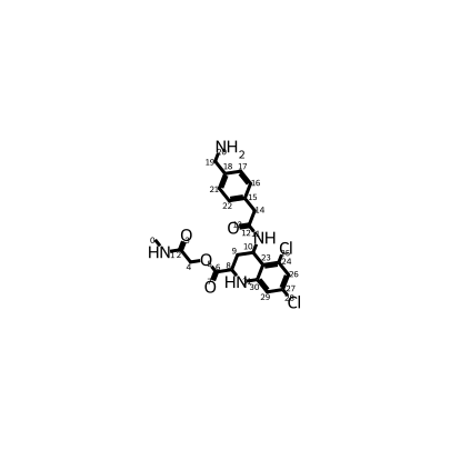 CNC(=O)COC(=O)C1CC(NC(=O)Cc2ccc(CN)cc2)c2c(Cl)cc(Cl)cc2N1